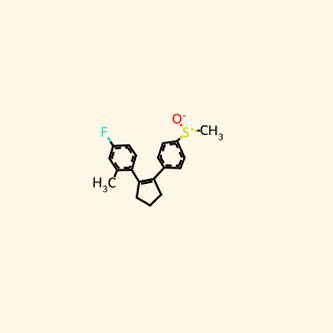 Cc1cc(F)ccc1C1=C(c2ccc([S+](C)[O-])cc2)CCC1